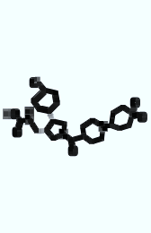 O=C(O)NC[C@H]1CN(C(=O)C2CCN(C3CCS(=O)(=O)CC3)CC2)C[C@H]1c1ccc(Cl)cc1